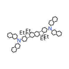 CCC1(CC)c2cc(N(c3ccc4ccccc4c3)c3ccc4ccccc4c3)ccc2-c2cc3cc4c(cc3cc21)-c1ccc(N(c2ccc3ccccc3c2)c2ccc3ccccc3c2)cc1C4(CC)CC